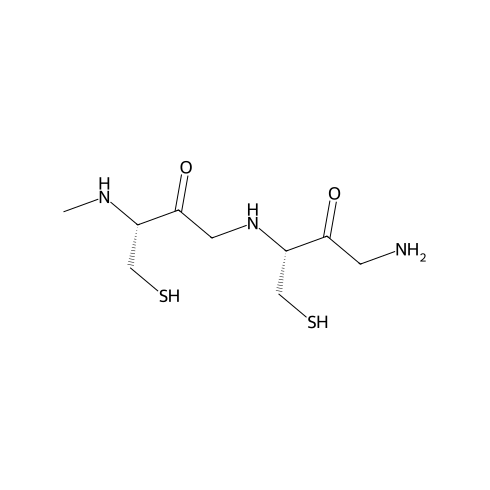 CN[C@@H](CS)C(=O)CN[C@@H](CS)C(=O)CN